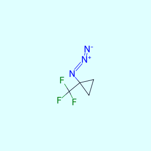 [N-]=[N+]=NC1(C(F)(F)F)CC1